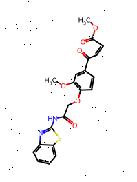 COC(=O)/C=C\C(=O)c1ccc(OCC(=O)Nc2nc3ccccc3s2)c(OC)c1